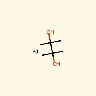 CC(C)(O)C(C)(C)O.[Pd]